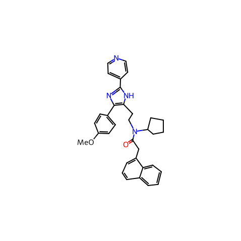 COc1ccc(-c2nc(-c3ccncc3)[nH]c2CCN(C(=O)Cc2cccc3ccccc23)C2CCCC2)cc1